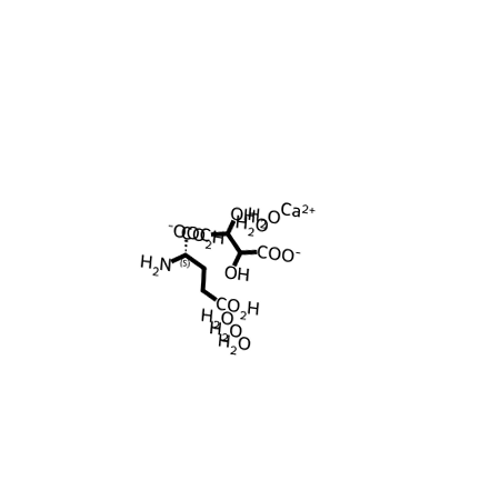 N[C@@H](CCC(=O)O)C(=O)O.O.O.O.O.O.O=C([O-])C(O)C(O)C(=O)[O-].[Ca+2]